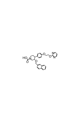 O=C(O)N1CCC(c2ccc(OCCOc3ncccn3)cc2)C(OCc2ccc3ccccc3c2)C1